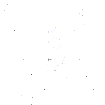 CNc1ccc(-n2ncc(C(N)=O)c2C(F)(F)F)cn1